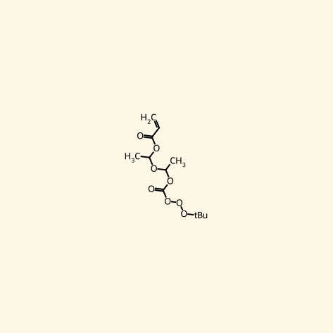 C=CC(=O)OC(C)OC(C)OC(=O)OOOC(C)(C)C